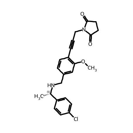 COc1cc(CN[C@@H](C)c2ccc(Cl)cc2)ccc1C#CCN1C(=O)CCC1=O